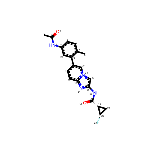 CC(=O)Nc1ccc(C)c(-c2ccc3nc(NC(=O)[C@@H]4C[C@@H]4F)cn3c2)c1